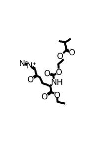 CCOC(=O)C(CCC(=O)C=[N+]=[N-])NC(=O)OCCOC(=O)C(C)C